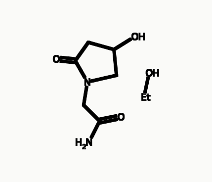 CCO.NC(=O)CN1CC(O)CC1=O